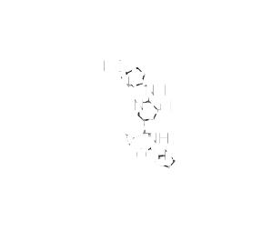 Cc1ccc(Nc2ncc([C@H](NC(=O)c3nccs3)C3CC3)cc2Cl)cn1